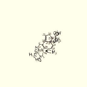 CC1(C)C(O)CC[C@]2(C)C3=C(CCC12)C1=CC[C@H](C(C)(C)O)[C@@]1(C)CC3